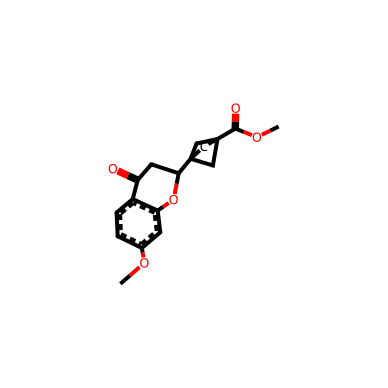 COC(=O)C12CC(C3CC(=O)c4ccc(OC)cc4O3)(C1)C2